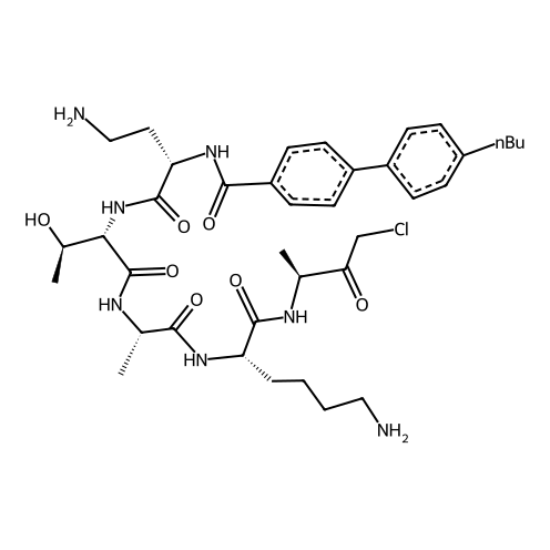 CCCCc1ccc(-c2ccc(C(=O)N[C@@H](CCN)C(=O)N[C@H](C(=O)N[C@@H](C)C(=O)N[C@@H](CCCCN)C(=O)N[C@@H](C)C(=O)CCl)[C@@H](C)O)cc2)cc1